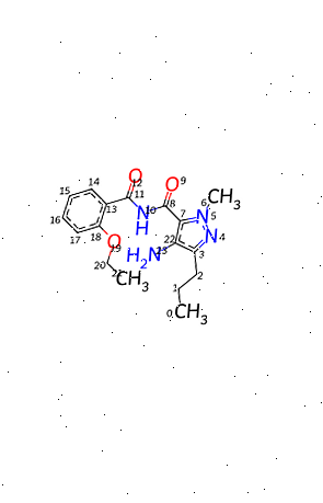 CCCc1nn(C)c(C(=O)NC(=O)c2ccccc2OCC)c1N